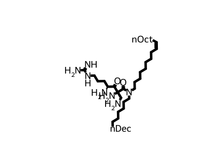 CCCCCCCC/C=C\CCCCCCCCN(CCCCCCCCCCCCCCCC)C(=O)C(N)(CN)C(=O)[C@@H](N)CCCNC(=N)N